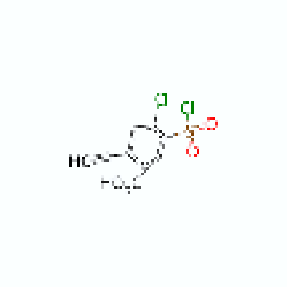 C#Cc1cc(Cl)c(S(=O)(=O)Cl)cc1C(=O)O